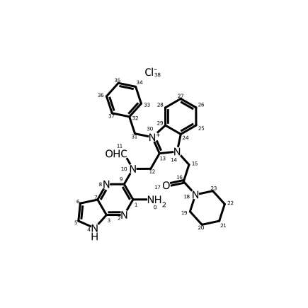 Nc1nc2[nH]ccc2nc1N(C=O)Cc1n(CC(=O)N2CCCCC2)c2ccccc2[n+]1Cc1ccccc1.[Cl-]